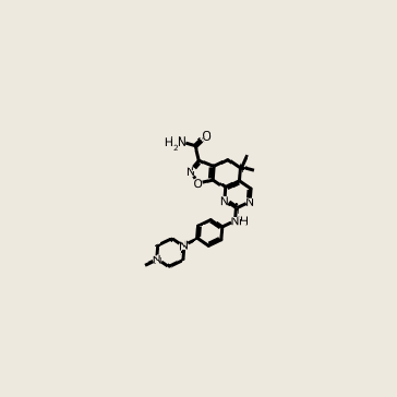 CN1CCN(c2ccc(Nc3ncc4c(n3)-c3onc(C(N)=O)c3CC4(C)C)cc2)CC1